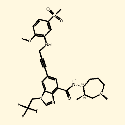 COc1ccc(S(C)(=O)=O)cc1NCC#Cc1cc(C(=O)N[C@@H]2CCCN(C)C[C@H]2C)c2ncn(CC(F)(F)F)c2c1